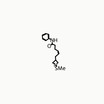 CSN1CC(C/C=C\CCC(=O)Nc2ccccc2)C1